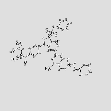 Cc1cc(-c2cnc3c(n2)c(-c2ccc(C(=O)N(C)C[C@@H](C)O)cc2)cn3S(=O)(=O)Cc2ccccc2)cc2c1CCN(CCN1CCOCC1)C2